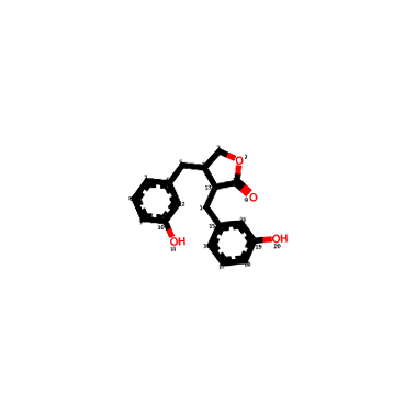 O=C1OCC(Cc2cccc(O)c2)C1Cc1cccc(O)c1